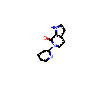 O=c1c2[nH]ccc2ccn1-c1ccccn1